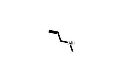 C=C[CH2][AlH][CH3]